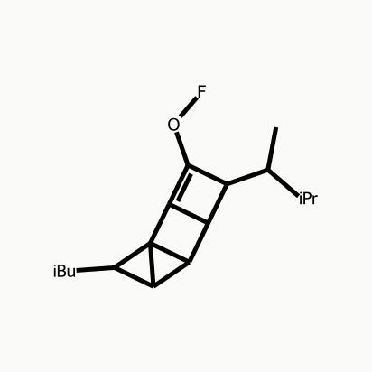 CCC(C)C1C2C3C4C(=C(OF)C4C(C)C(C)C)C132